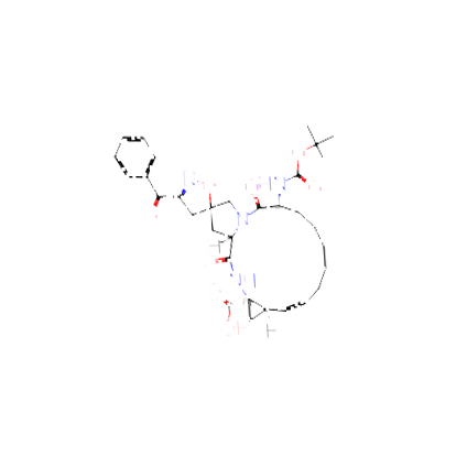 CC(C)(C)OC(=O)N[C@H]1CCCCC/C=C\[C@@H]2C[C@@]2(C(=O)O)NC(=O)[C@@H]2C[C@]3(CC(C(=O)c4ccccc4)=NO3)CN2C1=O